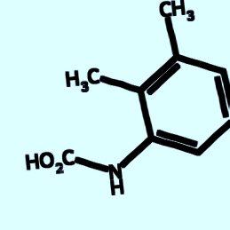 Cc1cccc(NC(=O)O)c1C